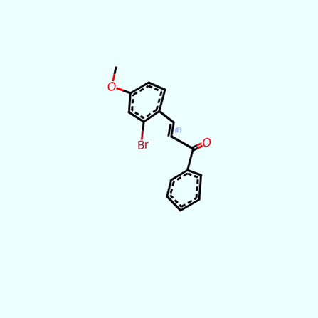 COc1ccc(/C=C/C(=O)c2ccccc2)c(Br)c1